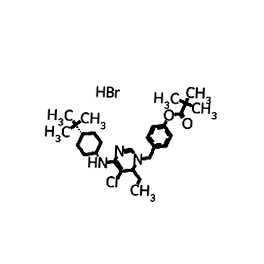 Br.CCC1C(Cl)=C(N[C@H]2CC[C@@H](C(C)(C)C)CC2)N=CN1Cc1ccc(OC(=O)C(C)(C)C)cc1